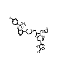 CC1(c2ccc(Cl)cc2)Oc2cccc(C3CCN(Cc4nc5cc(-c6noc(=O)[nH]6)cnc5n4C[C@@H]4CCO4)CC3)c2O1